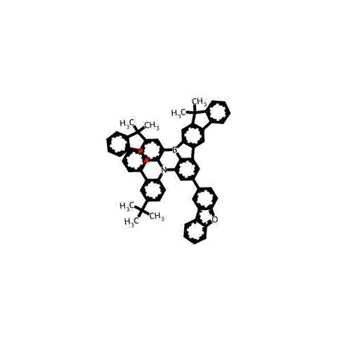 CC(C)(C)c1ccc(N2c3cc4c(cc3B3c5cc6c(cc5-c5cc(-c7ccc8oc9ccccc9c8c7)cc2c53)-c2ccccc2C6(C)C)C(C)(C)c2ccccc2-4)c(-c2ccccc2)c1